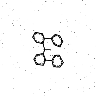 C[C](c1ccccc1-c1ccccc1)c1ccccc1-c1ccccc1